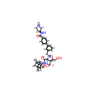 C[C@H](O)[C@@H]1[C@H](CO)ON(Cc2cccc(-c3ccc(C(=O)N[C@@H]4CCN(C)C4)cc3)c2)[C@@H]1C(=O)NC1C[C@H]2C[C@@H]([C@@H]1C)C2(C)C